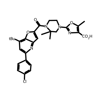 Cc1oc(N2CCN(C(=O)c3cc4nc(-c5ccc(Cl)cc5)cc(C(C)(C)C)c4o3)C(C)(C)C2)nc1C(=O)O